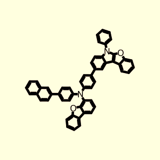 c1ccc(-n2c3ccc(-c4ccc(N(c5ccc(-c6ccc7ccccc7c6)cc5)c5cccc6c5oc5ccccc56)cc4)cc3c3c4ccccc4oc32)cc1